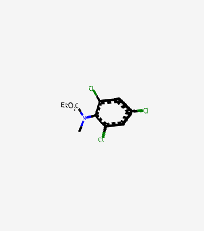 CCOC(=O)N(C)c1c(Cl)cc(Cl)cc1Cl